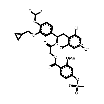 COc1cc(OS(C)(=O)=O)ccc1C(=O)OCC(=O)OC(Cc1c(Cl)c[n+]([O-])cc1Cl)c1ccc(OC(F)F)c(OCC2CC2)c1